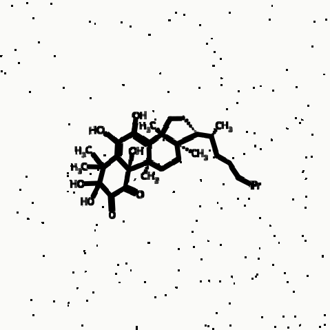 CC(C)CCC[C@@H](C)[C@H]1CC[C@@]2(C)C3=C(O)C(O)=C4C(C)(C)C(O)(O)C(=O)C(=O)[C@@]4(O)[C@]3(C)CC[C@]12C